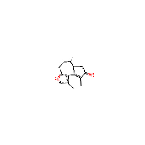 CC1=C2c3c(C)coc3CCC(C)C2CC1=O